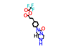 O=C(/C=C/c1ccc(N2C[C@@H]3CNCCN3C2=O)cc1)OC(=O)C(F)(F)F